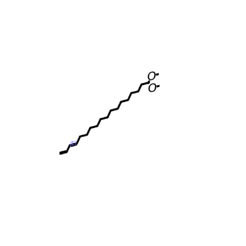 C=C/C=C/CCCCCCCCCCCCCC(OC)OC